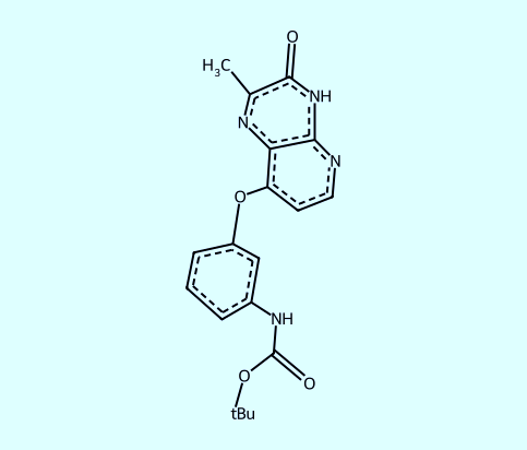 Cc1nc2c(Oc3cccc(NC(=O)OC(C)(C)C)c3)ccnc2[nH]c1=O